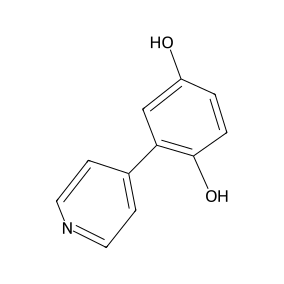 Oc1ccc(O)c(-c2ccncc2)c1